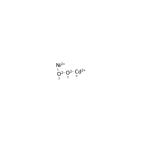 [Cd+2].[Ni+2].[O-2].[O-2]